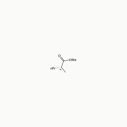 CCC[C@@H](C)C(=O)OC